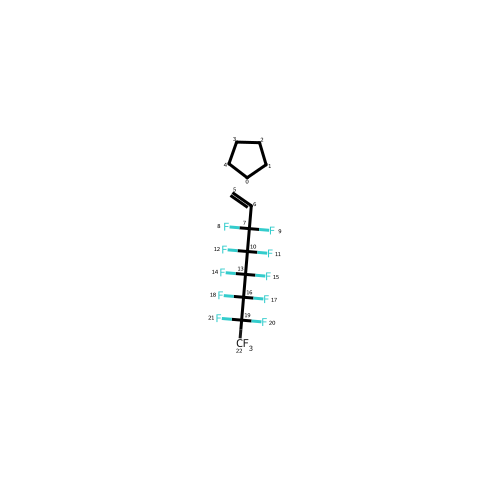 C1CCCC1.C=CC(F)(F)C(F)(F)C(F)(F)C(F)(F)C(F)(F)C(F)(F)F